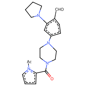 CC(=O)n1cccc1C(=O)N1CCN(c2ccc(C=O)c(N3CCCC3)c2)CC1